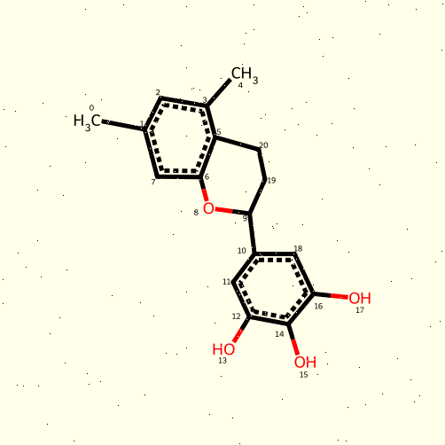 Cc1cc(C)c2c(c1)OC(c1cc(O)c(O)c(O)c1)[CH]C2